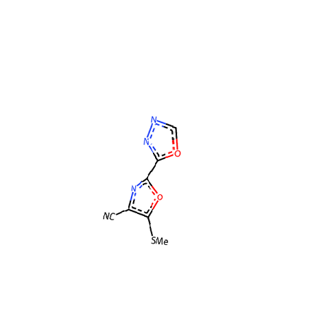 CSc1oc(-c2nnco2)nc1C#N